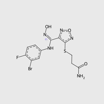 NC(=O)CCSc1nonc1/C(=N\O)Nc1ccc(F)c(Br)c1